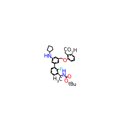 CC(NC(=O)OC(C)(C)C)c1cccc(-c2cc(COc3ccccc3CC(=O)O)cc(NC3CCCC3)c2)c1F